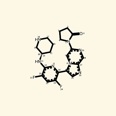 O=C1CCCN1c1cn2c(-c3nc(N[C@@H]4CCCNC4)c(F)cc3F)cnc2cn1